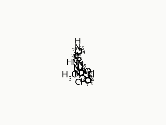 Cn1cc(-c2c(Cl)cccc2Cl)c(=O)c2cnc(Nc3cc4c(s3)CCNC4)nc21